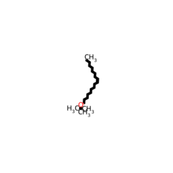 CCCCCCCC/C=C\CCCCCCCCOC(C)(C)C